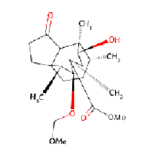 COCO[C@H]1[C@H](C)C23CCC(=O)C2[C@@](C)([C@H](C)CC3)[C@H](O)C[C@@]1(C)C(=O)OC